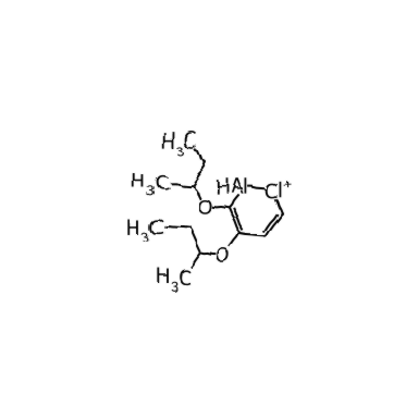 CCC(C)OC1=[C](OC(C)CC)[AlH][Cl+]C=C1